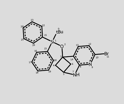 CC(C)(C)[Si](OC12CC(C1)Nc1nc(Br)ccc12)(c1ccccc1)c1ccccc1